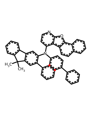 CC1(C)c2ccccc2-c2cc(N(c3ccc(-c4ccccc4)cc3)c3ccnc4oc5c6ccccc6ccc5c34)c(-c3ccccc3)cc21